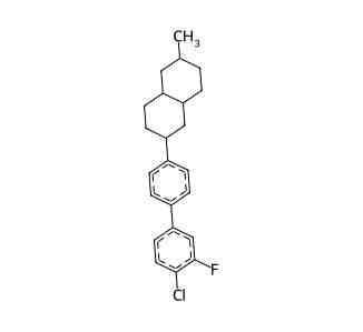 CC1CCC2CC(c3ccc(-c4ccc(Cl)c(F)c4)cc3)CCC2C1